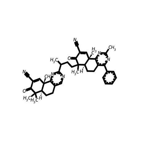 Cc1nc(-c2ccccc2)c2c(n1)[C@@]1(C)C=C(C#N)C(=O)C(C)(CCC(C)c3ncc4c(n3)[C@@]3(C)C=C(C#N)C(=O)C(C)(C)[C@@H]3CC4)[C@@H]1CC2